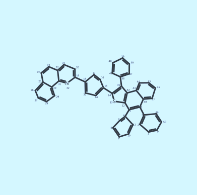 c1ccc(-c2c(-c3ccccc3)c3sc(-c4ccc(-c5ccc6ccc7ccccc7c6n5)cc4)c(-c4ccccc4)c3c3ccccc23)cc1